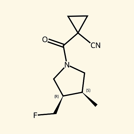 C[C@@H]1CN(C(=O)C2(C#N)CC2)C[C@@H]1CF